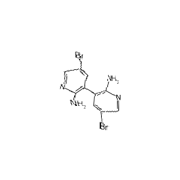 Nc1ncc(Br)cc1-c1cc(Br)cnc1N